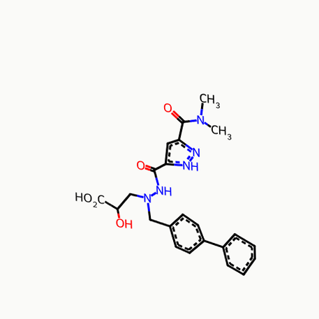 CN(C)C(=O)c1cc(C(=O)NN(Cc2ccc(-c3ccccc3)cc2)CC(O)C(=O)O)[nH]n1